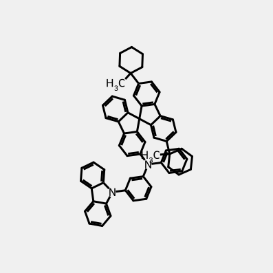 CC1(c2ccc3c(c2)C2(c4ccccc4-c4ccc(N(c5ccccc5)c5cccc(-n6c7ccccc7c7ccccc76)c5)cc42)c2cc(C4(C)CCCCC4)ccc2-3)CCCCC1